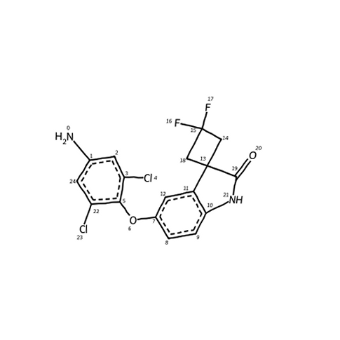 Nc1cc(Cl)c(Oc2ccc3c(c2)C2(CC(F)(F)C2)C(=O)N3)c(Cl)c1